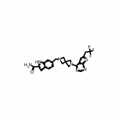 NC(=O)c1cc2ccc(CN3CC4(C3)CN(c3ncnc5sc(CC(F)(F)F)cc35)C4)cc2[nH]1